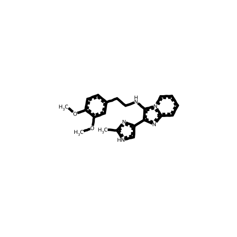 COc1ccc(CCNc2c(-c3c[nH]c(C)n3)nc3ccccn23)cc1OC